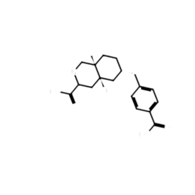 O=C(O)c1ccc(C[C@H]2CC[C@H]3CNC(C(=O)O)C[C@H]3C2)cc1